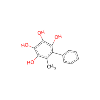 Cc1c(O)c(O)c(O)c(O)c1-c1ccccc1